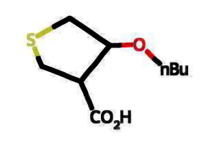 CCCCOC1CSCC1C(=O)O